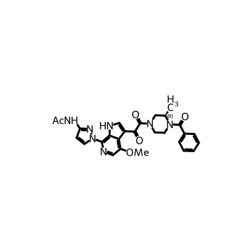 COc1cnc(-n2ccc(NC(C)=O)n2)c2[nH]cc(C(=O)C(=O)N3CCN(C(=O)c4ccccc4)[C@H](C)C3)c12